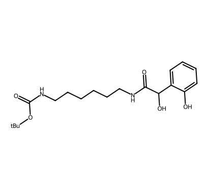 CC(C)(C)OC(=O)NCCCCCCNC(=O)C(O)c1ccccc1O